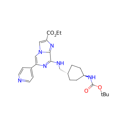 CCOC(=O)c1cn2cc(-c3ccncc3)nc(NC[C@H]3CC[C@H](NC(=O)OC(C)(C)C)CC3)c2n1